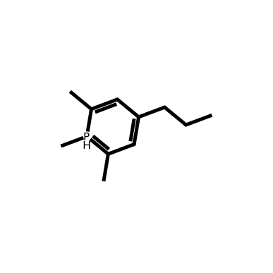 CCCC1=CC(C)=[PH](C)C(C)=C1